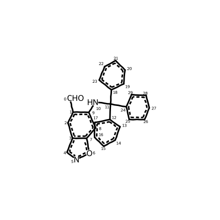 O=Cc1cc2cnoc2cc1NC(c1ccccc1)(c1ccccc1)c1ccccc1